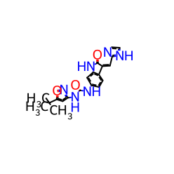 CC(C)(C)c1cc(NC(=O)Nc2ccc3c(c2)NC(=O)C3=Cc2ncc[nH]2)no1